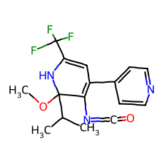 COC1(C(C)C)NC(C(F)(F)F)=CC(c2ccncc2)=C1N=C=O